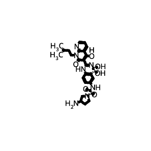 CC(C)CCn1c(=O)c(C2=NS(O)(O)c3cc(NS(=O)(=O)N4CCC(N)C4)ccc3N2)c(O)c2cccnc21